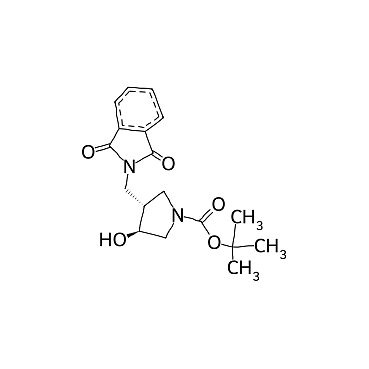 CC(C)(C)OC(=O)N1C[C@@H](CN2C(=O)c3ccccc3C2=O)[C@H](O)C1